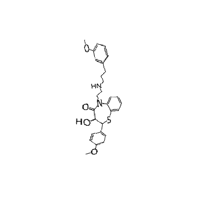 COc1ccc(C2Sc3ccccc3N(CCNCCCc3cccc(OC)c3)C(=O)C2O)cc1